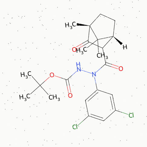 CC(C)(C)OC(=O)NN(C(=O)C1C(=O)[C@]2(C)CC[C@H]1C2(C)C)c1cc(Cl)cc(Cl)c1